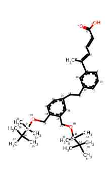 C/C(=C\C=C\C(=O)O)c1cccc(CCc2ccc(CO[Si](C)(C)C(C)(C)C)c(CO[Si](C)(C)C(C)(C)C)c2)c1